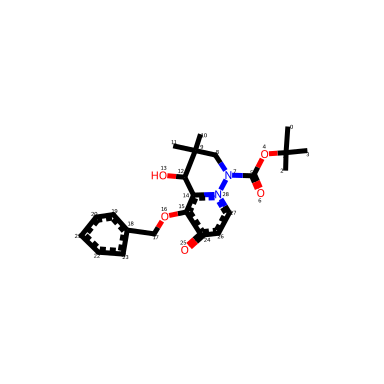 CC(C)(C)OC(=O)N1CC(C)(C)C(O)c2c(OCc3ccccc3)c(=O)ccn21